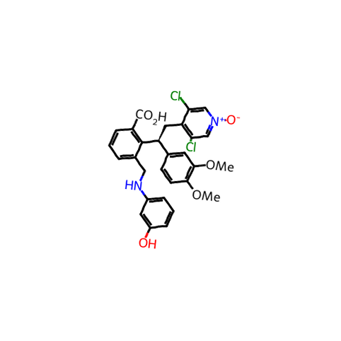 COc1ccc([C@H](Cc2c(Cl)c[n+]([O-])cc2Cl)c2c(CNc3cccc(O)c3)cccc2C(=O)O)cc1OC